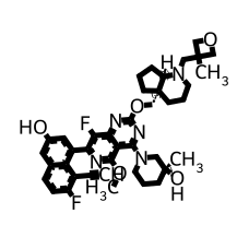 C#Cc1c(F)ccc2cc(O)cc(-c3nc(OC)c4c(N5CCC[C@@](C)(O)C5)nc(OC[C@]56CCC[C@H]5N(CC5(C)COC5)CCC6)nc4c3F)c12